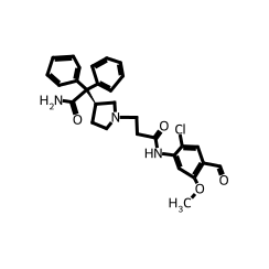 COc1cc(NC(=O)CCN2CC[C@@H](C(C(N)=O)(c3ccccc3)c3ccccc3)C2)c(Cl)cc1C=O